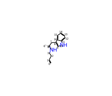 C=CCCN[C@H](C)Cc1c[nH]c2ccccc12